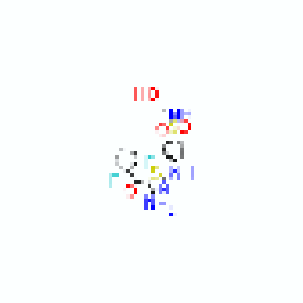 Nc1nc(Nc2ccc(S(=O)(=O)NCCO)cc2)sc1C(=O)c1c(F)cccc1F